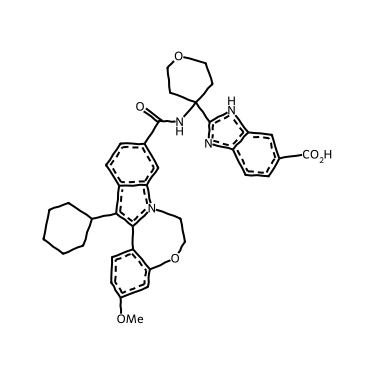 COc1ccc2c(c1)OCCn1c-2c(C2CCCCC2)c2ccc(C(=O)NC3(c4nc5ccc(C(=O)O)cc5[nH]4)CCOCC3)cc21